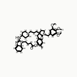 COc1cc(CN2CCC(CCCN3CCC(Nc4nc5ccccc5n4CCCC(=O)O)CC3)(Cc3ccc(F)cc3)C2=O)cc(OC)c1OC